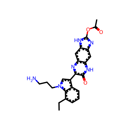 CCc1cccc2c(-c3nc4cc5[nH]c(OC(C)=O)nc5cc4[nH]c3=O)cn(CCCN)c12